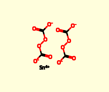 O=C([O-])OOC(=O)[O-].O=C([O-])OOC(=O)[O-].[Sn+4]